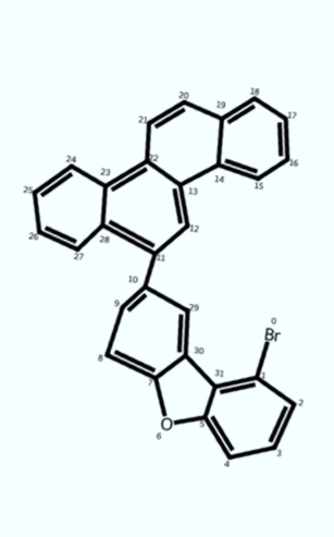 Brc1cccc2oc3ccc(-c4cc5c6ccccc6ccc5c5ccccc45)cc3c12